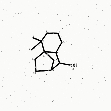 CC1(C)CCCC2C(O)C3CCC21C3